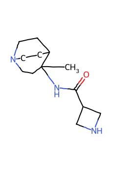 CC1(NC(=O)C2CNC2)CCN2CCC1CC2